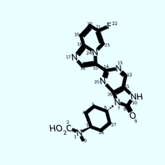 CN(C(=O)O)[C@H]1CC[C@H](n2c(=O)[nH]c3cnc(-c4cnc5ccc(F)cn45)nc32)CC1